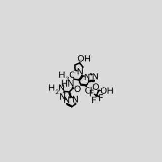 CC(NC(=O)c1c(N)nn2cccnc12)c1cc(Cl)c2cncn2c1N1CCC(O)C1.O=C(O)C(F)(F)F